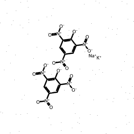 O=[N+]([O-])c1cc([N+](=O)[O-])c([O-])c([N+](=O)[O-])c1.O=[N+]([O-])c1cc([N+](=O)[O-])c([O-])c([N+](=O)[O-])c1.[K+].[Na+]